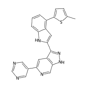 Cc1ccc(-c2cccc3[nH]c(-c4n[nH]c5cnc(-c6cncnc6)cc45)cc23)s1